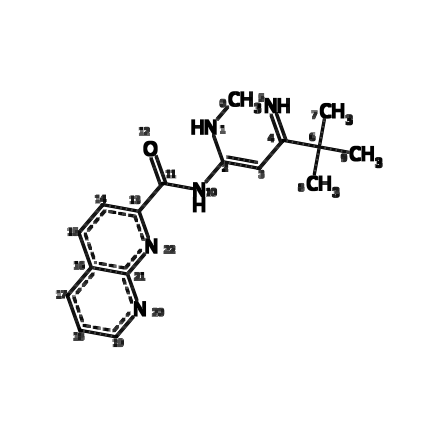 CN/C(=C\C(=N)C(C)(C)C)NC(=O)c1ccc2cccnc2n1